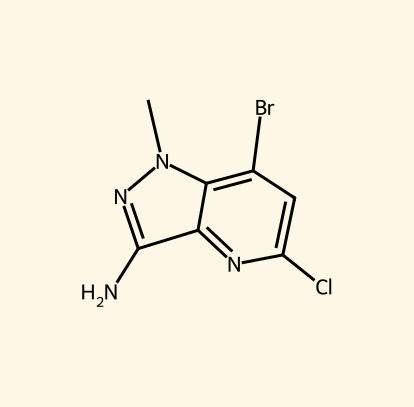 Cn1nc(N)c2nc(Cl)cc(Br)c21